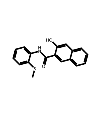 CSc1ccccc1NC(=O)c1cc2ccccc2cc1O